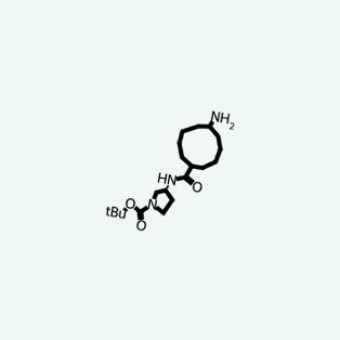 CC(C)(C)OC(=O)N1CC[C@@H](NC(=O)C2CCCCC(N)CCCC2)C1